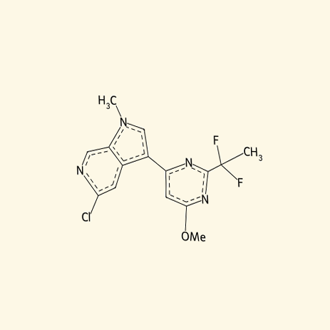 COc1cc(-c2cn(C)c3cnc(Cl)cc23)nc(C(C)(F)F)n1